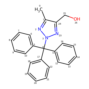 Cc1nn(C(c2ccccc2)(c2ccccc2)c2ccccc2)nc1CO